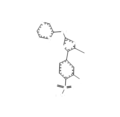 Cc1nc(Nc2cnccn2)sc1-c1ccc(S(N)(=O)=O)c(Cl)c1